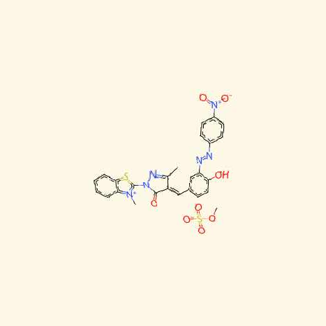 CC1=NN(c2sc3ccccc3[n+]2C)C(=O)/C1=C/c1ccc(O)c(/N=N/c2ccc([N+](=O)[O-])cc2)c1.COS(=O)(=O)[O-]